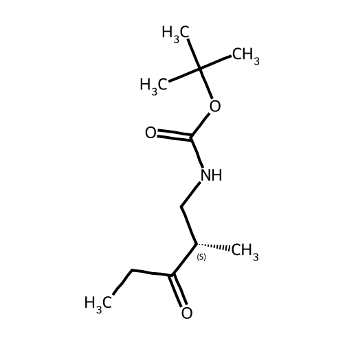 CCC(=O)[C@@H](C)CNC(=O)OC(C)(C)C